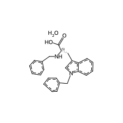 O.O=C(O)[C@H](Cc1cn(Cc2ccccc2)c2ccccc12)NCc1ccccc1